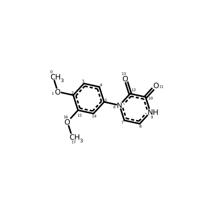 COc1ccc(-n2cc[nH]c(=O)c2=O)cc1OC